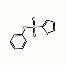 O=S(=O)(Nc1ccccc1)c1cccs1